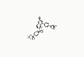 Cn1cc(-c2ccc(-c3c[n+]([O-])cc4ccc(C(=O)N5CCN(C(=O)OC(C)(C)C)CC5)nc34)cc2)cn1